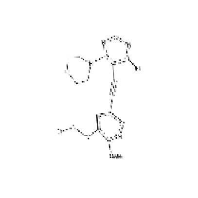 CCSNc1cc(C#Cc2c(CC)ncnc2N2CCOCC2)cnc1OC